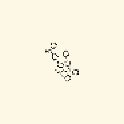 CC1(C)c2cc(-c3ccc(Nc4ccccc4)cc3)ccc2-c2c1cc1ccccc1c2N(c1ccccc1)c1ccc(-c2ccccc2)cc1